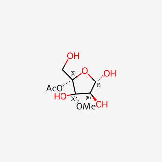 CO[C@@]1(O)[C@H](O)[C@@H](O)O[C@@]1(CO)OC(C)=O